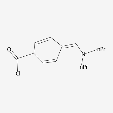 CCCN(C=C1C=CC(C(=O)Cl)C=C1)CCC